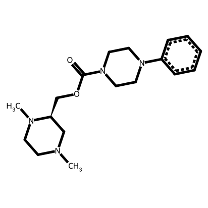 CN1CCN(C)[C@@H](COC(=O)N2CCN(c3ccccc3)CC2)C1